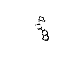 O=C(OC(=O)[C@@H]1CCCN1)c1cc2ccccc2cn1